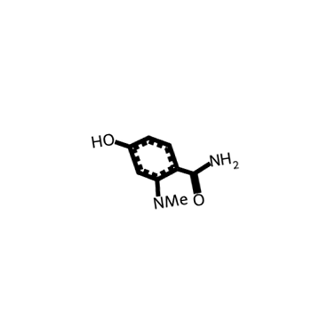 CNc1cc(O)ccc1C(N)=O